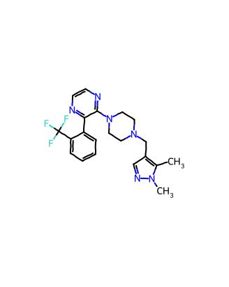 Cc1c(CN2CCN(c3nccnc3-c3ccccc3C(F)(F)F)CC2)cnn1C